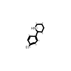 CCc1ccc(C2CCCCN2)cc1